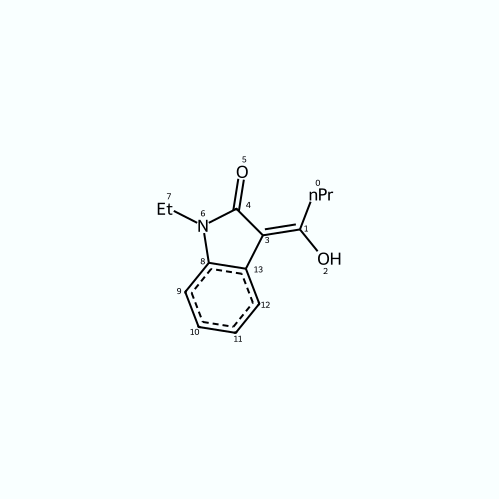 CCCC(O)=C1C(=O)N(CC)c2ccccc21